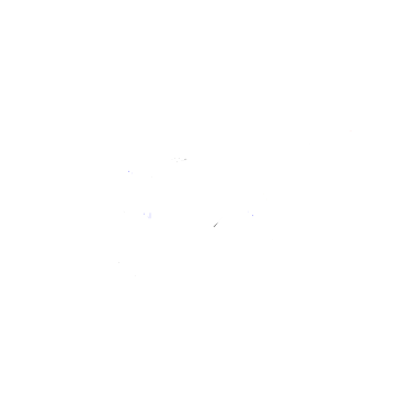 COC(=O)N[C@H](C(=O)N[C@H](CCC[C@@H](CO)N(C)S(=O)(=O)c1ccc(CO)cc1)C1CC1)C(c1ccccc1)c1ccccc1